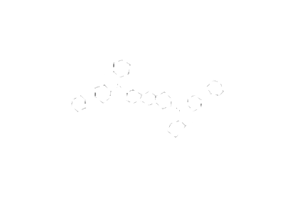 CCc1ccccc1-c1cc2c(cc1CC)N(c1ccc3cc4cc(N5c6ccccc6C(C)(C)c6cc7c(cc65)C(C)(C)c5ccccc5-7)ccc4cc3c1)c1ccccc1C2(C)C